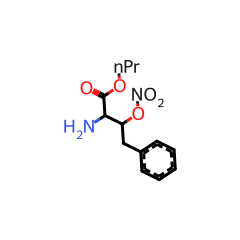 CCCOC(=O)C(N)C(Cc1ccccc1)O[N+](=O)[O-]